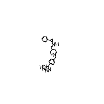 c1ccc(C2CC2NCC2CCN(Cc3ccc(-c4nnn[nH]4)cc3)CC2)cc1